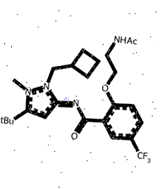 CC(=O)NCCOc1ccc(C(F)(F)F)cc1C(=O)/N=c1\cc(C(C)(C)C)n(C)n1CC1CCC1